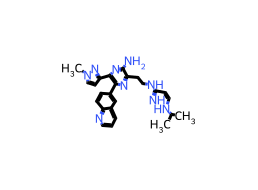 CC(C)N/C=C\C(=N)NCCc1nc(-c2ccc3ncccc3c2)c(-c2ccn(C)n2)nc1N